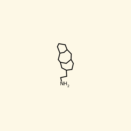 NCCC1CCC2CC3CCCC(C3)CC(C1)C2